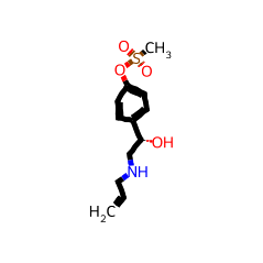 C=CCNC[C@@H](O)c1ccc(OS(C)(=O)=O)cc1